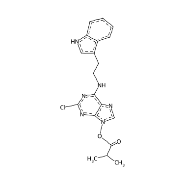 CC(C)C(=O)On1cnc2c(NCCc3c[nH]c4ccccc34)nc(Cl)nc21